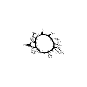 CC[C@H]1OC(=O)SC(=O)[C@H](C)[C@@H](O)[C@](C)(OC)C[C@@H](C)CN[C@H](C)C2NC(=O)O[C@@]21C